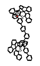 c1ccc(-c2ccc(-c3nc(-c4cccc(-c5ccc(-c6ccc(-c7nc(-c8cccc9c8C8(c%10ccccc%10-9)c9ccc%10ccccc%10c9Sc9c8ccc8ccccc98)c8ccccc8n7)cc6)cc5)c4)cc(-c4cccc5c4C4(c6ccccc6-5)c5ccc6ccccc6c5Sc5c4ccc4ccccc54)n3)cc2)cc1